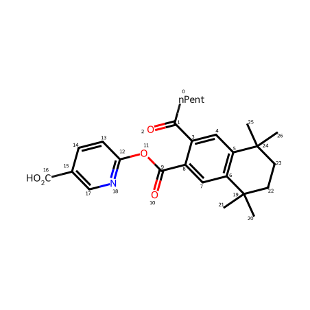 CCCCCC(=O)c1cc2c(cc1C(=O)Oc1ccc(C(=O)O)cn1)C(C)(C)CCC2(C)C